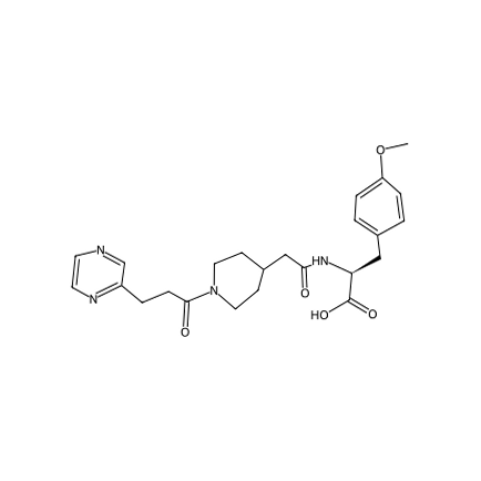 COc1ccc(C[C@H](NC(=O)CC2CCN(C(=O)CCc3cnccn3)CC2)C(=O)O)cc1